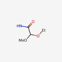 CCOC(OC)C([NH])=O